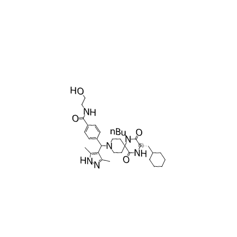 CCCCN1C(=O)[C@H](CC2CCCCC2)NC(=O)C12CCN(C(c1ccc(C(=O)NCCO)cc1)c1c(C)n[nH]c1C)CC2